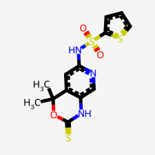 CC1(C)OC(=S)Nc2cnc(NS(=O)(=O)c3cccs3)cc21